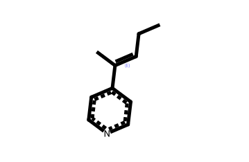 CC/C=C(\C)c1ccncc1